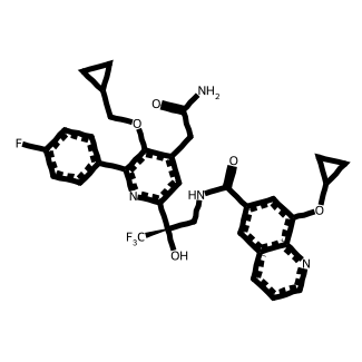 NC(=O)Cc1cc([C@@](O)(CNC(=O)c2cc(OC3CC3)c3ncccc3c2)C(F)(F)F)nc(-c2ccc(F)cc2)c1OCC1CC1